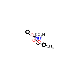 Cc1ccc(C2=CCC(C(=O)N[C@@H](COCc3ccccc3)C(=O)O)O2)cc1